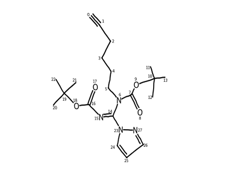 C#CCCCCN(C(=O)OC(C)(C)C)C(=NC(=O)OC(C)(C)C)n1cccn1